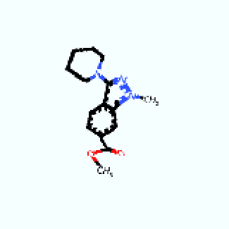 COC(=O)c1ccc2c(N3CCCCC3)nn(C)c2c1